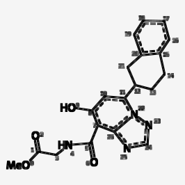 COC(=O)CNC(=O)c1c(O)cc(C2CCc3ccccc3C2)n2ncnc12